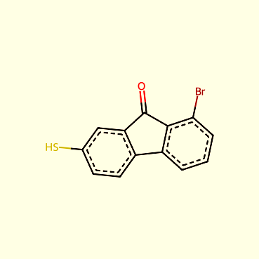 O=C1c2cc(S)ccc2-c2cccc(Br)c21